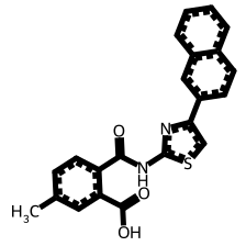 Cc1ccc(C(=O)Nc2nc(-c3ccc4ccccc4c3)cs2)c(C(=O)O)c1